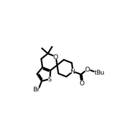 CC(C)(C)OC(=O)N1CCC2(CC1)OC(C)(C)Cc1cc(Br)sc12